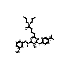 CCCN(CCC)C(=O)CCCC(=O)N[C@@H](Cc1ccc(C(C)C)cc1)[C@H](O)CNCc1cccc(OC)c1